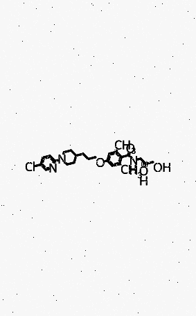 Cc1cc(OCCCC2CCN(c3ccc(Cl)cn3)CC2)cc(C)c1C(=O)NC[C@@H](O)CO